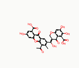 CC(=O)c1c(C)c(/C(O)=C2\COc3cc(O)c(O)c(C(=O)O)c3C2=O)cc2c(=O)c3c(C(=O)O)cc(O)cc3oc12